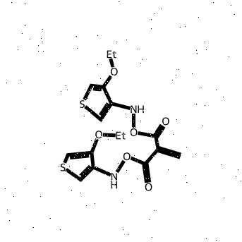 C=C(C(=O)ONc1cscc1OCC)C(=O)ONc1cscc1OCC